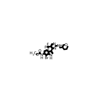 COC(=O)Nc1ccc2c(-c3nc(NCC4CCCOC4)ncc3C(F)(F)F)c[nH]c2c1Br